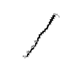 CCCCCCCCC=CCCCCCCCCCCCCNCCCNCCCNCCCN